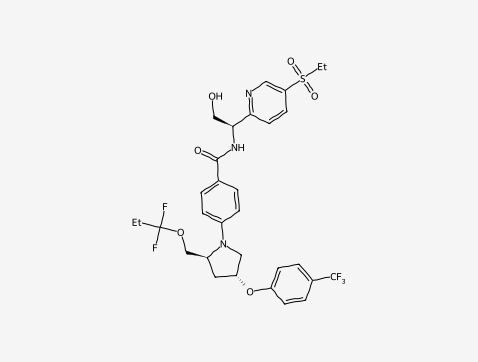 CCC(F)(F)OC[C@@H]1C[C@@H](Oc2ccc(C(F)(F)F)cc2)CN1c1ccc(C(=O)N[C@@H](CO)c2ccc(S(=O)(=O)CC)cn2)cc1